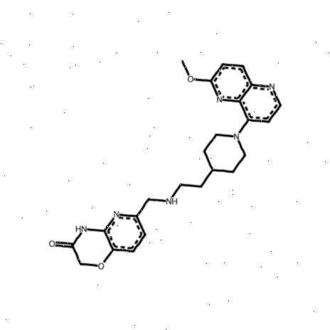 COc1ccc2nccc(N3CCC(CCNCc4ccc5c(n4)NC(=O)CO5)CC3)c2n1